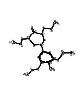 COCc1cc(N2CN(COC)C(=O)N(COC)C2)cc(COC)c1C